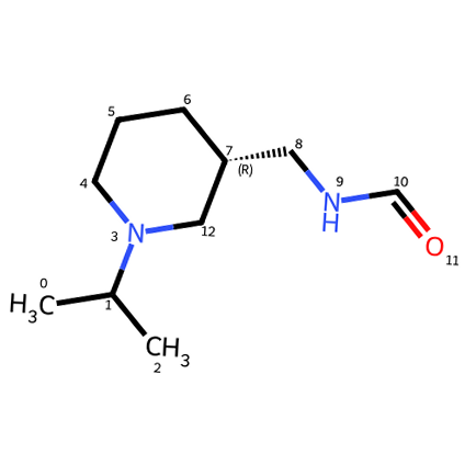 CC(C)N1CCC[C@H](CNC=O)C1